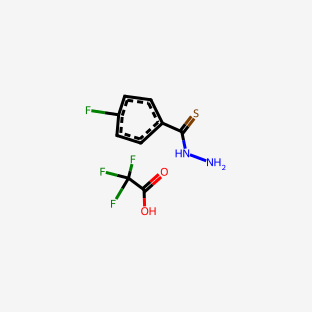 NNC(=S)c1ccc(F)cc1.O=C(O)C(F)(F)F